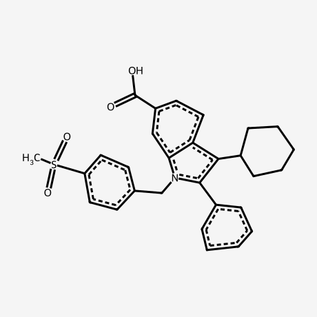 CS(=O)(=O)c1ccc(Cn2c(-c3ccccc3)c(C3CCCCC3)c3ccc(C(=O)O)cc32)cc1